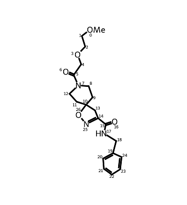 COCCOCC(=O)N1CCC2(CC1)CC(C(=O)NCc1ccccc1)=NO2